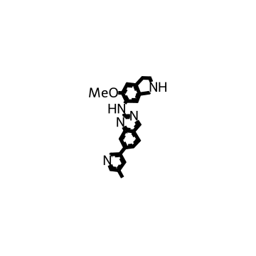 COc1cc2c(cc1Nc1ncc3ccc(-c4cncc(C)c4)cc3n1)CNCC2